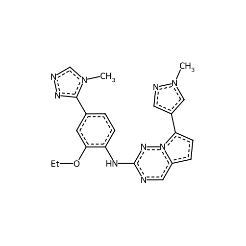 CCOc1cc(-c2nncn2C)ccc1Nc1ncc2ccc(-c3cnn(C)c3)n2n1